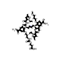 CCn1nc(C)cc1C(=O)Nc1nc2cc(C(N)=O)cc(OCCCNC(=O)OCCC(=O)O)c2n1C/C=C/Cn1c2nc(-c3cc(C)nn3CC)ncc2c2cc(C(N)=O)cc(OCCCOC)c21